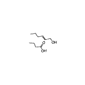 CCCC(=O)O.CCCC=CCO